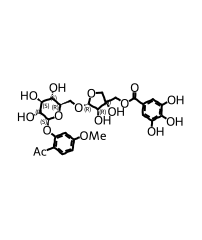 COc1ccc(C(C)=O)c(O[C@@H]2O[C@H](CO[C@@H]3OC[C@](O)(COC(=O)c4cc(O)c(O)c(O)c4)[C@H]3O)[C@@H](O)[C@H](O)[C@H]2O)c1